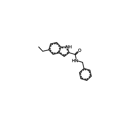 CCc1ccc2[nH]c(C(=O)NCc3ccccc3)cc2c1